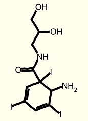 NC1C(I)=CC(I)=CC1(I)C(=O)NCC(O)CO